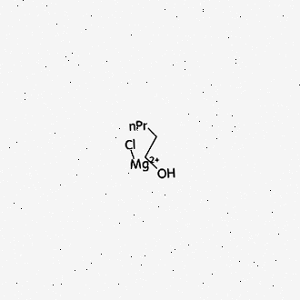 CCCCCO.[Mg+2][Cl]